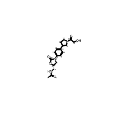 CC(=O)NC[C@H]1CN(c2ccc(C3CCN(C(=O)CO)C3)cc2)C(=O)O1